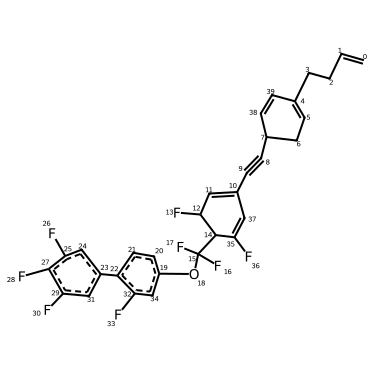 C=CCCC1=CCC(C#CC2=CC(F)C(C(F)(F)Oc3ccc(-c4cc(F)c(F)c(F)c4)c(F)c3)C(F)=C2)C=C1